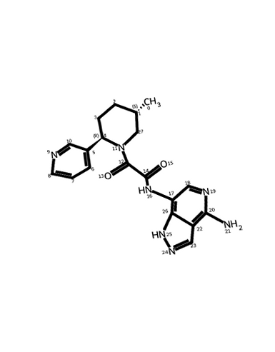 C[C@H]1CC[C@H](c2cccnc2)N(C(=O)C(=O)Nc2cnc(N)c3cn[nH]c23)C1